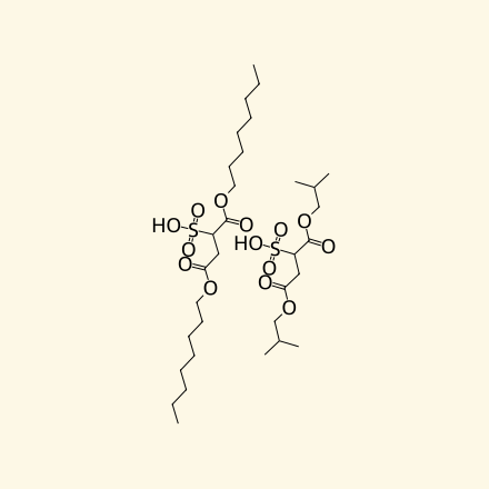 CC(C)COC(=O)CC(C(=O)OCC(C)C)S(=O)(=O)O.CCCCCCCCOC(=O)CC(C(=O)OCCCCCCCC)S(=O)(=O)O